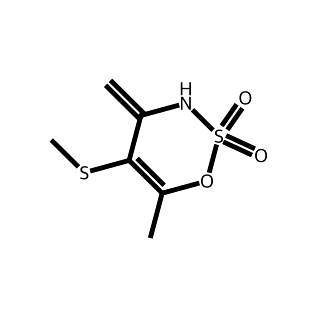 C=C1NS(=O)(=O)OC(C)=C1SC